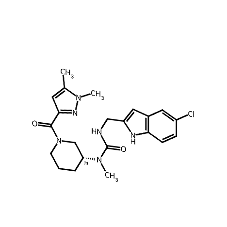 Cc1cc(C(=O)N2CCC[C@@H](N(C)C(=O)NCc3cc4cc(Cl)ccc4[nH]3)C2)nn1C